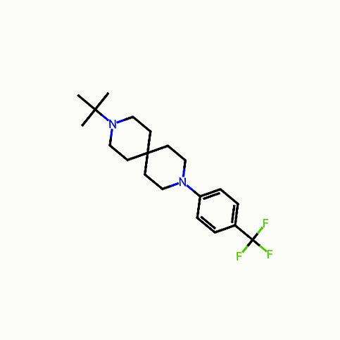 CC(C)(C)N1CCC2(CCN(c3ccc(C(F)(F)F)cc3)CC2)CC1